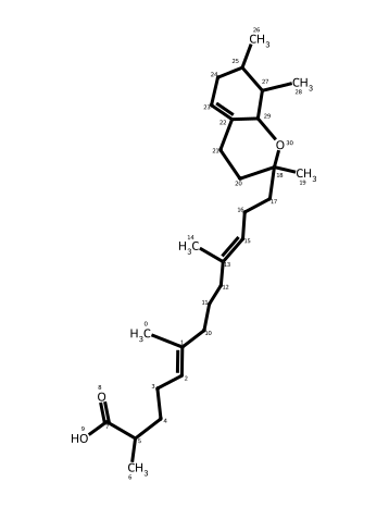 C/C(=C\CCC(C)C(=O)O)CCC/C(C)=C/CCC1(C)CCC2=CCC(C)C(C)C2O1